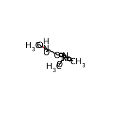 COCCCNC(=O)CCCCCOc1ccc2nc(-c3ccc(C)cc3)n(CCCOC)c2c1